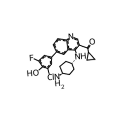 N[C@H]1CC[C@H](Nc2c(C(=O)C3CC3)cnc3ccc(-c4cc(F)c(O)c(Cl)c4)cc23)CC1